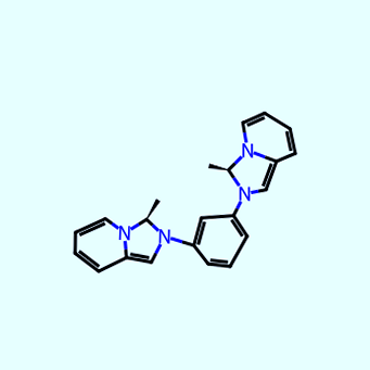 C[C@@H]1N2C=CC=CC2=CN1c1cccc(N2C=C3C=CC=CN3[C@@H]2C)c1